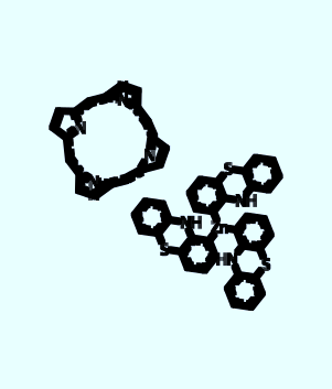 C1=Cc2cc3ccc(cc4nc(cc5ccc(cc1n2)[nH]5)C=C4)[nH]3.c1ccc2c(c1)Nc1c(ccc[c]1[Zn]([c]1cccc3c1Nc1ccccc1S3)[c]1cccc3c1Nc1ccccc1S3)S2